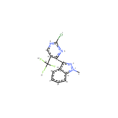 Cn1nc(-c2nc(Cl)ncc2C(F)(F)F)c2ccccc21